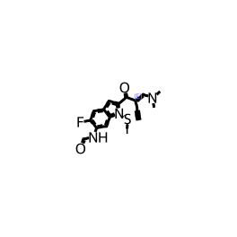 C#C/C(=C\N(C)C)C(=O)c1cc2cc(F)c(NC=O)cc2n1SI